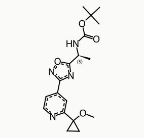 COC1(c2cc(-c3noc([C@H](C)NC(=O)OC(C)(C)C)n3)ccn2)CC1